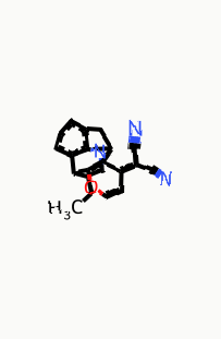 CCC1CN2CC3Cc4cccc(c42)C1C1=C3C(=C(C#N)C#N)C=CO1